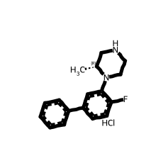 C[C@@H]1CNCCN1c1cc(-c2ccccc2)ccc1F.Cl